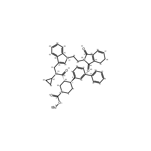 CC(C)(C)OC(=O)N1CC[C@H](c2cccc(-c3ccccc3)c2)[C@@H](C(=O)N(Cc2cn(CCN3C(=O)C4=C(CCC=C4)C3=O)c3ccccc23)C2CC2)C1